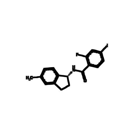 Cc1ccc2c(c1)CC[C@H]2NC(=O)c1ccc(I)cc1F